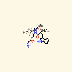 CC(=O)NC(Cc1c[nH]c2ccccc12)C(=O)NC(CCC(=O)C=[N+]=[N-])C(=O)O.CCCCC(=O)C(=O)O